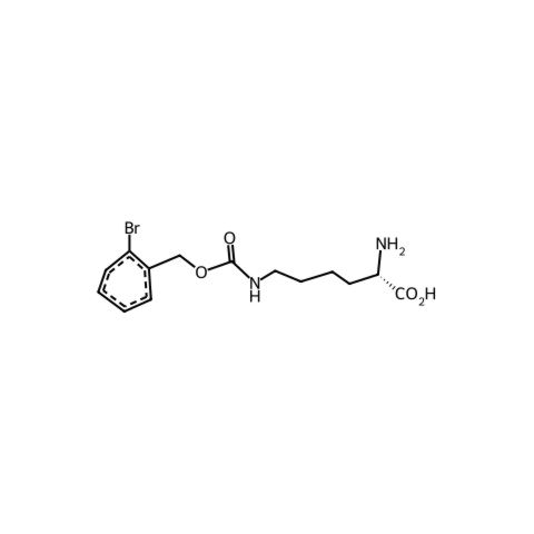 N[C@@H](CCCCNC(=O)OCc1ccccc1Br)C(=O)O